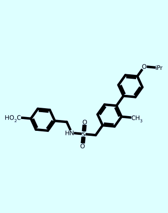 Cc1cc(CS(=O)(=O)NCc2ccc(C(=O)O)cc2)ccc1-c1ccc(OC(C)C)cc1